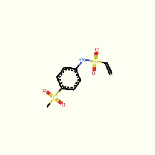 C=CS(=O)(=O)Nc1ccc(S(C)(=O)=O)cc1